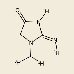 [3H]N=C1N([3H])C(=O)CN1C([3H])[3H]